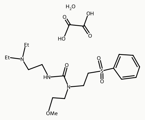 CCN(CC)CCNC(=O)N(CCOC)CCS(=O)(=O)c1ccccc1.O.O=C(O)C(=O)O